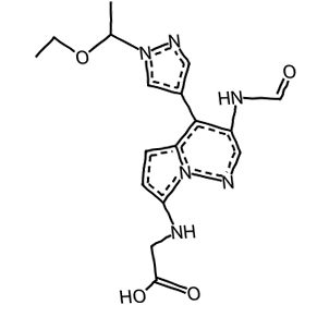 CCOC(C)n1cc(-c2c(NC=O)cnn3c(NCC(=O)O)ccc23)cn1